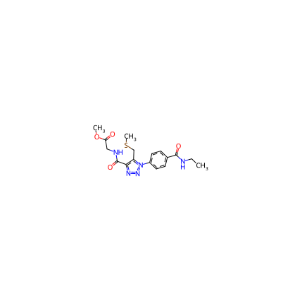 CCNC(=O)c1ccc(-n2nnc(C(=O)NCC(=O)OC)c2CSC)cc1